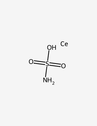 NS(=O)(=O)O.[Ce]